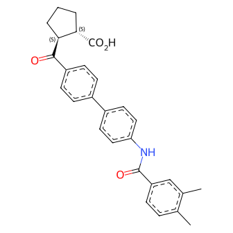 Cc1ccc(C(=O)Nc2ccc(-c3ccc(C(=O)[C@H]4CCC[C@@H]4C(=O)O)cc3)cc2)cc1C